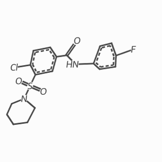 O=C(Nc1ccc(F)cc1)c1ccc(Cl)c(S(=O)(=O)N2CCCCC2)c1